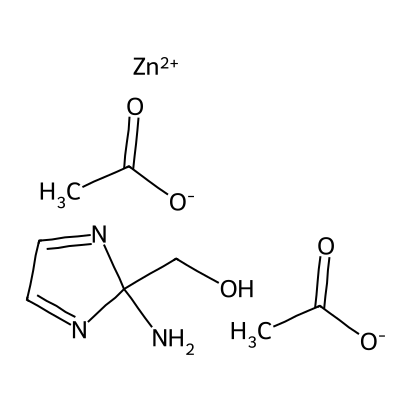 CC(=O)[O-].CC(=O)[O-].NC1(CO)N=CC=N1.[Zn+2]